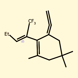 C=C=C1CC(C)(C)CC(C)=C1/C(=C/CC)C(F)(F)F